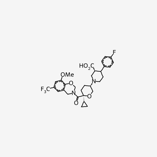 COc1cc(C(F)(F)F)cc2c1OCN(C(=O)[C@@]1(C3CC3)CC[C@@H](N3CCC(c4ccc(F)cc4)[C@H](C(=O)O)C3)CO1)C2